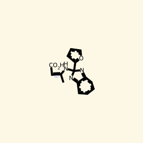 C/C(=C/C(=O)O)NC1(c2ccco2)N=c2ccccc2=N1